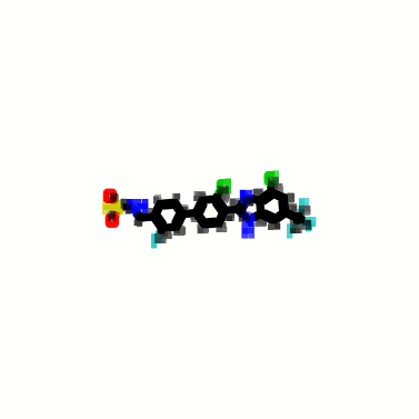 O=[SH](=O)NCc1ccc(-c2ccc(-c3nc4c(Cl)cc(C(F)(F)F)cc4[nH]3)c(Cl)c2)cc1F